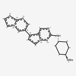 CN[C@H]1CC[C@H](Nc2ncc3c(-c4cnc5nccn5c4)ccn3n2)CC1